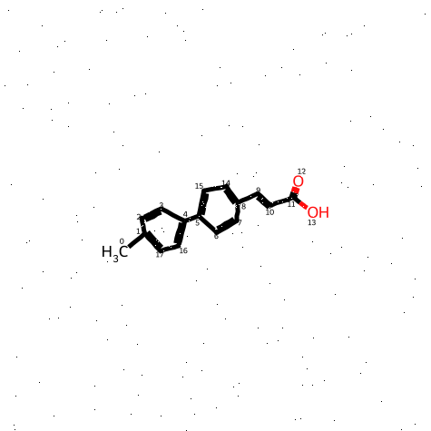 Cc1ccc(-c2ccc(C=CC(=O)O)cc2)cc1